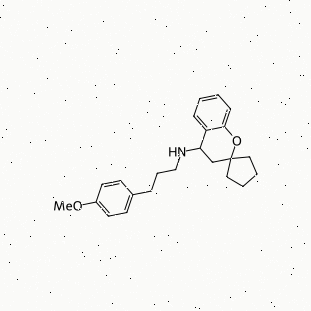 COc1ccc(CCCNC2CC3(CCCC3)Oc3ccccc32)cc1